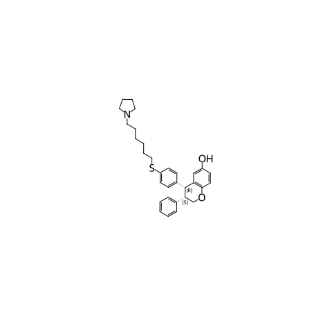 Oc1ccc2c(c1)[C@@H](c1ccc(SCCCCCCN3CCCC3)cc1)[C@@H](c1ccccc1)CO2